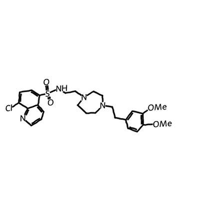 COc1ccc(CCN2CCCN(CCNS(=O)(=O)c3ccc(Cl)c4ncccc34)CC2)cc1OC